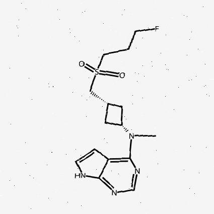 CN(c1ncnc2[nH]ccc12)[C@H]1C[C@@H](CS(=O)(=O)CCCF)C1